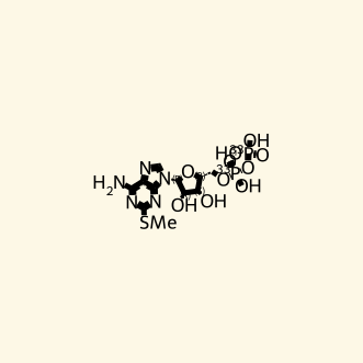 CSc1nc(N)c2ncn([C@@H]3O[C@H](CO[33P](=O)(O)O[33P](=O)(O)O)[C@@H](O)[C@H]3O)c2n1